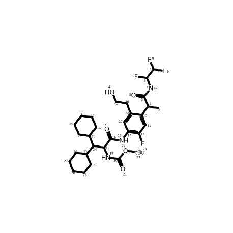 CC(C(=O)NC(F)C(F)F)c1cc(F)c(NC(=O)C(NC(=O)OC(C)(C)C)C(C2CCCCC2)C2CCCCC2)cc1CCO